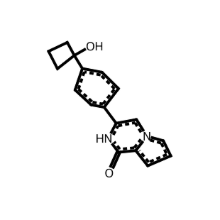 O=c1[nH]c(-c2ccc(C3(O)CCC3)cc2)cn2cccc12